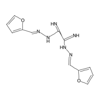 N=C(N/N=C/c1ccco1)C(=N)N/N=C/c1ccco1